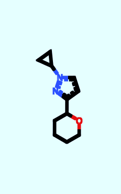 c1cn(C2CC2)nc1C1CCCCO1